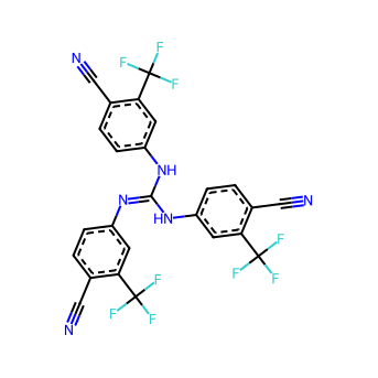 N#Cc1ccc(N=C(Nc2ccc(C#N)c(C(F)(F)F)c2)Nc2ccc(C#N)c(C(F)(F)F)c2)cc1C(F)(F)F